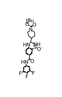 CC(C)(C)OC(=O)N1CCC(C2Nc3ccc(C(=O)Nc4cc(F)c(F)c(F)c4)cc3[S+]([O-])N2)CC1